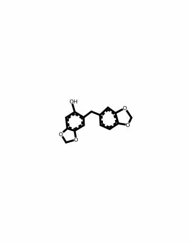 Oc1cc2c(cc1Cc1ccc3c(c1)OCO3)OCO2